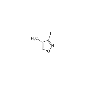 Cc1conc1I